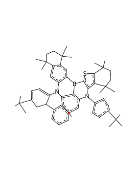 Cc1cc2c3c(c1)N(c1ccc(C(C)(C)C)cc1)c1c(sc4c1C(C)(C)CCC4(C)C)B3c1cc3c(cc1N2C1=CC=C(C(C)(C)C)CC1c1ccccc1)C(C)(C)CCC3(C)C